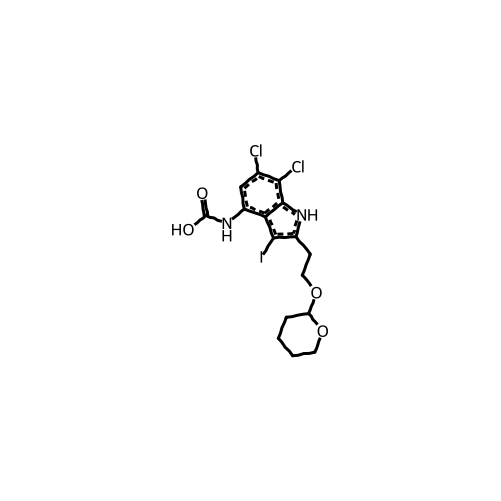 O=C(O)Nc1cc(Cl)c(Cl)c2[nH]c(CCOC3CCCCO3)c(I)c12